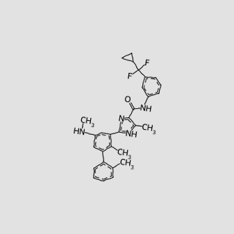 CNc1cc(-c2nc(C(=O)Nc3cccc(C(F)(F)C4CC4)c3)c(C)[nH]2)c(C)c(-c2ccccc2C)c1